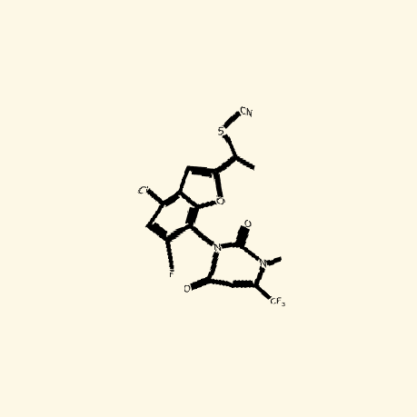 CC(SC#N)c1cc2c(Cl)cc(F)c(-n3c(=O)cc(C(F)(F)F)n(C)c3=O)c2o1